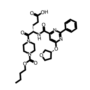 CCCCOC(=O)N1CCN(C(=O)[C@H](CCC(=O)O)NC(=O)c2cc(O[C@@H]3CCOC3)nc(-c3ccccc3)n2)CC1